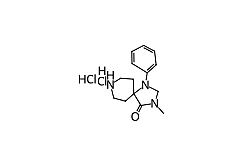 CN1CN(c2ccccc2)C2(CCNCC2)C1=O.Cl.Cl